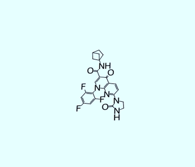 O=C(NC12CCC(C1)C2)c1cn(-c2c(F)cc(F)cc2F)c2nc(N3CCNC3=O)ccc2c1=O